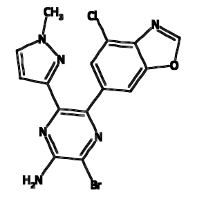 Cn1ccc(-c2nc(N)c(Br)nc2-c2cc(Cl)c3ncoc3c2)n1